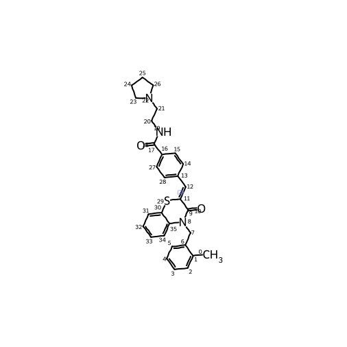 Cc1ccccc1CN1C(=O)/C(=C/c2ccc(C(=O)NCCN3CCCC3)cc2)Sc2ccccc21